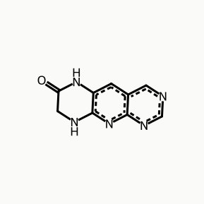 O=C1CNc2nc3ncncc3cc2N1